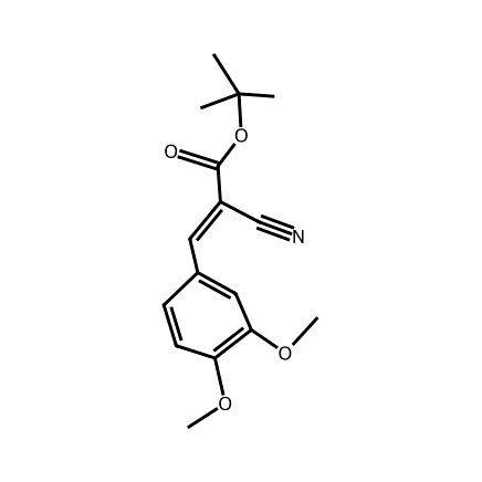 COc1ccc(/C=C(\C#N)C(=O)OC(C)(C)C)cc1OC